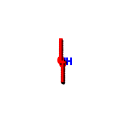 CCCCCCCCCCCCCCCCCCOC(CC)NC(CC)OCCCCCCCCCCCCCCCCCC